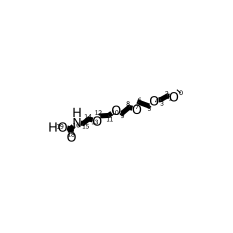 COCCOCCOCCOCCOCCNC(=O)O